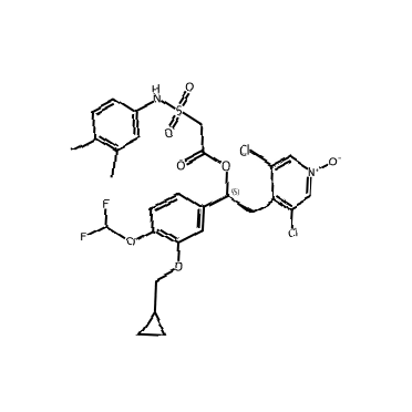 Cc1ccc(NS(=O)(=O)CC(=O)O[C@@H](Cc2c(Cl)c[n+]([O-])cc2Cl)c2ccc(OC(F)F)c(OCC3CC3)c2)cc1C